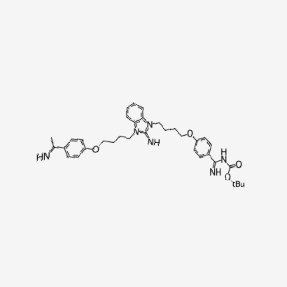 CC(=N)c1ccc(OCCCCn2c(=N)n(CCCCOc3ccc(C(=N)NC(=O)OC(C)(C)C)cc3)c3ccccc32)cc1